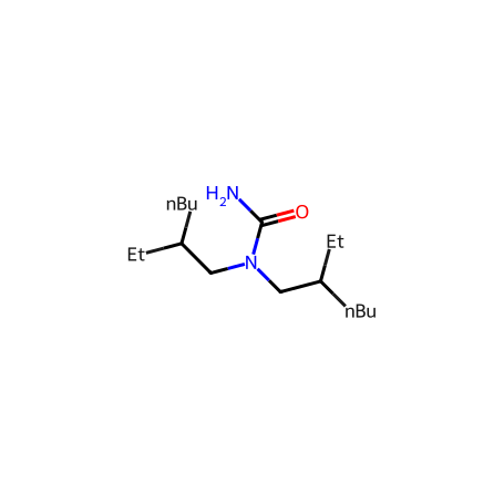 CCCCC(CC)CN(CC(CC)CCCC)C(N)=O